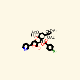 CC(=O)OC[C@](C)(OC(C)=O)[C@@H]1C[C@@H]2[C@@H](OC(=O)c3ccc(Br)cc3)c3c(cc(-c4cccnc4)oc3=O)O[C@@]2(C)[C@H](OC(C)=O)C1